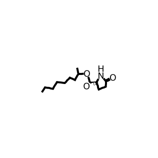 CCCCCCCC(C)OC(=O)[C@@H]1CCC(=O)N1